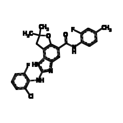 Cc1ccc(NC(=O)c2cc3nc(Nc4c(F)cccc4Cl)[nH]c3c3c2OC(C)(C)C3)c(F)c1